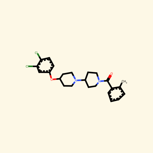 Cc1ccccc1C(=O)N1CCC(N2CCC(Oc3ccc(Cl)c(Cl)c3)CC2)CC1